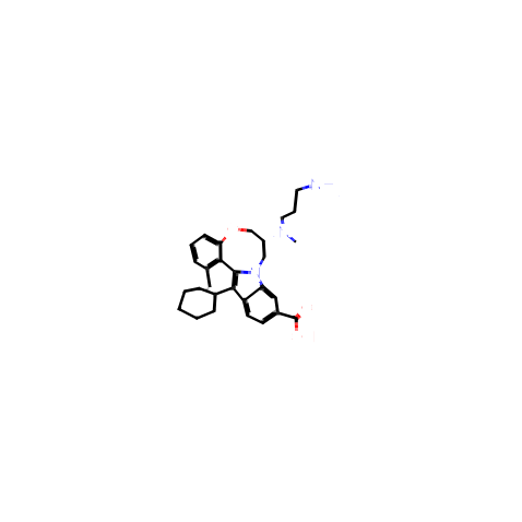 Cc1cccc2c1-c1c(C3CCCCC3)c3ccc(C(=O)O)cc3n1C[C@@H](N(C)CCCN)CO2